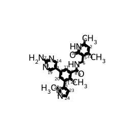 Cc1cc(C)c(CNC(=O)c2cc(-c3cnc(N)nc3)cc(-c3ccnn3C)c2C)c(=O)[nH]1